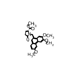 COC(=O)[C@H]1CCC(=O)N1Cc1cc2ccc(OC)cc2c2cc(OC)c(OC)cc12